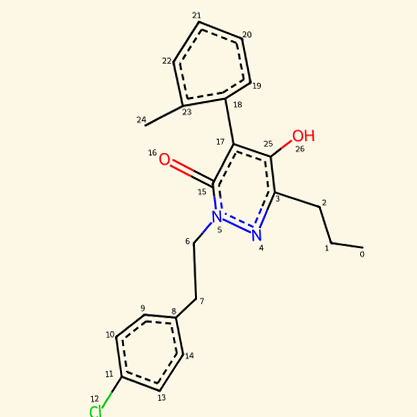 CCCc1nn(CCc2ccc(Cl)cc2)c(=O)c(-c2ccccc2C)c1O